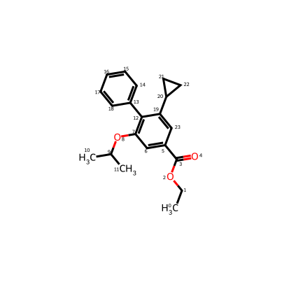 CCOC(=O)c1cc(OC(C)C)c(-c2ccccc2)c(C2CC2)c1